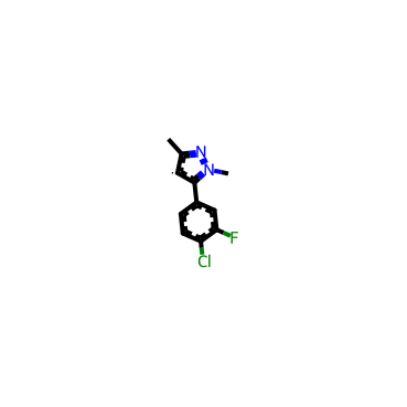 Cc1[c]c(-c2ccc(Cl)c(F)c2)n(C)n1